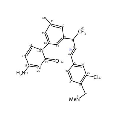 CNCc1ccc(/C=C/C(c2cc(C)cc(-n3ccc(N)nc3=O)c2)C(F)(F)F)cc1Cl